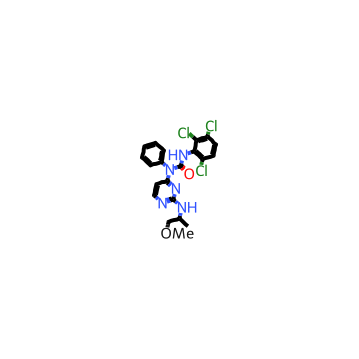 COCC(C)Nc1nccc(N(C(=O)Nc2c(Cl)ccc(Cl)c2Cl)c2ccccc2)n1